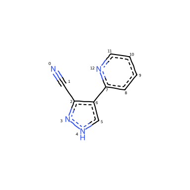 N#Cc1n[nH]cc1-c1ccccn1